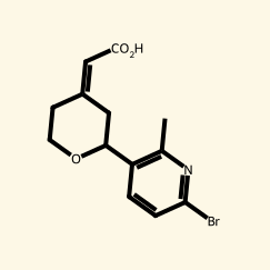 Cc1nc(Br)ccc1C1CC(=CC(=O)O)CCO1